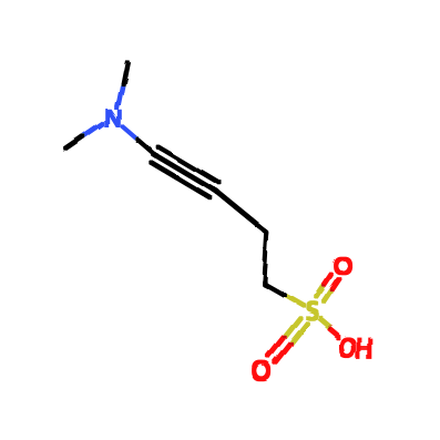 CN(C)C#CCCS(=O)(=O)O